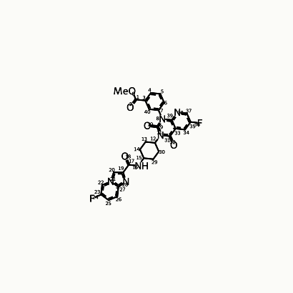 COC(=O)c1cccc(-n2c(=O)n(C3CCC(NC(=O)c4cn5cc(F)ccc5n4)CC3)c(=O)c3cc(F)cnc32)c1